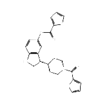 N=C(Nc1ccc2c(c1)C(C1CCN(C(=N)c3cccs3)CC1)CN2)c1cccs1